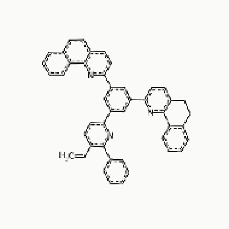 C=Cc1ccc(-c2cc(-c3ccc4c(n3)-c3ccccc3CC4)cc(-c3ccc4ccc5ccccc5c4n3)c2)nc1-c1ccccc1